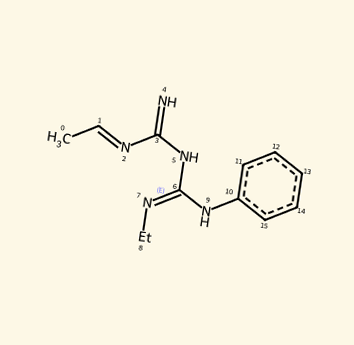 CC=NC(=N)N/C(=N/CC)Nc1ccccc1